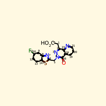 O=C(O)Cc1nn(Cc2nc3cc(F)ccc3s2)c(=O)c2cccnc12